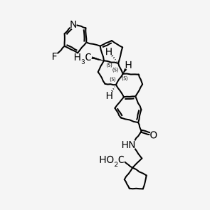 C[C@]12CC[C@@H]3c4ccc(C(=O)NCC5(C(=O)O)CCCC5)cc4CC[C@H]3[C@@H]1CC=C2c1cncc(F)c1